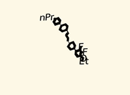 CCCc1ccc([C@H]2CC[C@H](/C=C/CC[C@H]3CC[C@H](c4ccc(OCC)c(F)c4F)CC3)CC2)cc1